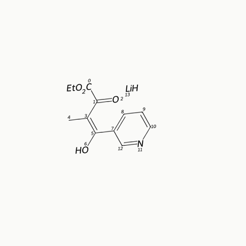 CCOC(=O)C(=O)C(C)=C(O)c1cccnc1.[LiH]